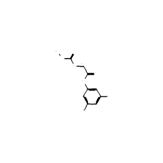 C[C@@H](NC(=O)OC(C)(C)C)C(=O)Nc1cc(Cl)cc(Cl)c1